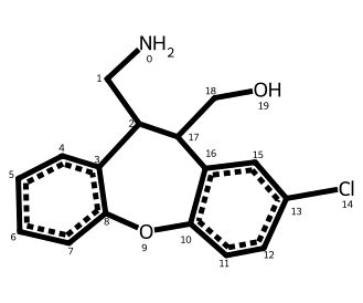 NCC1c2ccccc2Oc2ccc(Cl)cc2C1CO